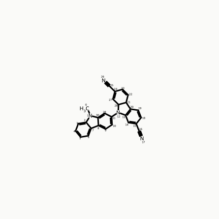 Cn1c2ccccc2c2ccc(N3c4cc(C#N)ccc4C4C=CC(C#N)=CC43)cc21